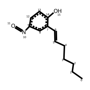 CCCCCC=Cc1cc(N=O)ccc1O